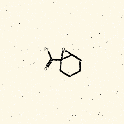 CC(C)C(=O)C12CCCCC1O2